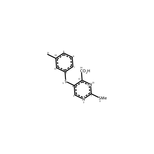 CSc1ncc(Sc2cccc(C)c2)c(C(=O)O)n1